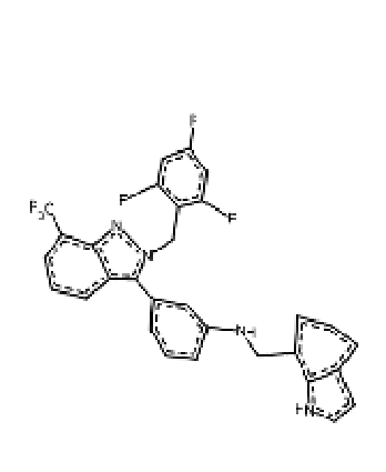 Fc1cc(F)c(Cn2nc3c(C(F)(F)F)cccc3c2-c2cccc(NCc3cccc4cc[nH]c34)c2)c(F)c1